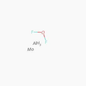 FOF.[AlH3].[Mo]